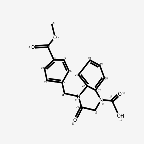 COC(=O)c1ccc(CN2C(=O)CN(C(=O)O)c3ccccc32)cc1